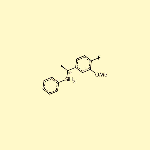 COc1cc([C@H](C)[SiH2]c2ccccc2)ccc1F